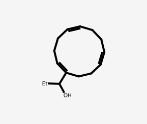 CCC(O)C1=CCCC=CCCC=CCC1